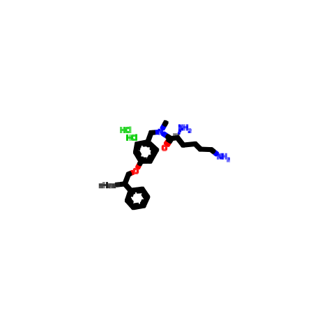 CCCCCCC(COc1ccc(CN(C)C(=O)[C@H](N)CCCCN)cc1)c1ccccc1.Cl.Cl